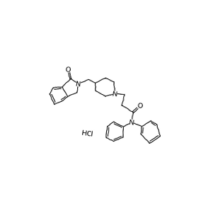 Cl.O=C1c2ccccc2CN1CC1CCN(CCC(=O)N(c2ccccc2)c2ccccc2)CC1